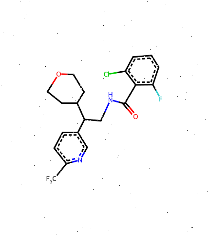 O=C(NCC(c1ccc(C(F)(F)F)nc1)C1CCOCC1)c1c(F)cccc1Cl